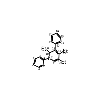 CCC1=[C]N(c2ccccc2)C(CC)C(c2ccccc2)=C1CC